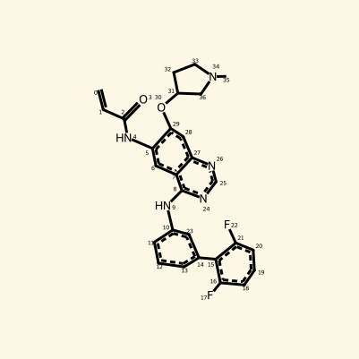 C=CC(=O)Nc1cc2c(Nc3cccc(-c4c(F)cccc4F)c3)ncnc2cc1OC1CCN(C)C1